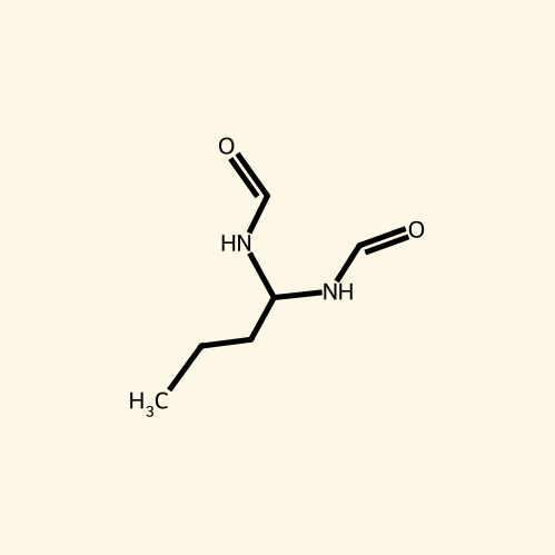 CCCC(NC=O)NC=O